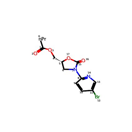 CCCC(=O)OC[C@H]1CN(c2ccc(Br)cn2)C(=O)O1